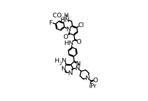 CC(C)C(=O)N1CCC(n2nc(-c3ccc(NC(=O)c4cc(Cl)c(CNC(=O)O)n(-c5ccc(F)cc5)c4=O)cc3)c3c(N)ncnc32)CC1